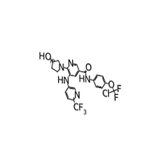 O=C(Nc1ccc(OC(F)(F)Cl)cc1)c1cnc(N2CC[C@@H](O)C2)c(Nc2ccc(C(F)(F)F)nc2)c1